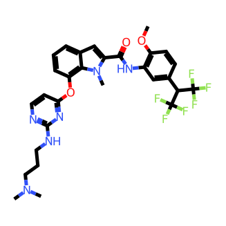 COc1ccc(C(C(F)(F)F)C(F)(F)F)cc1NC(=O)c1cc2cccc(Oc3ccnc(NCCCN(C)C)n3)c2n1C